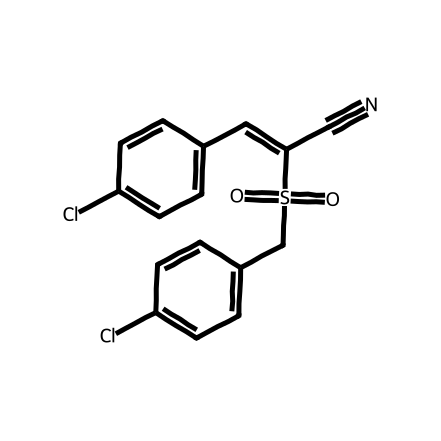 N#CC(=Cc1ccc(Cl)cc1)S(=O)(=O)Cc1ccc(Cl)cc1